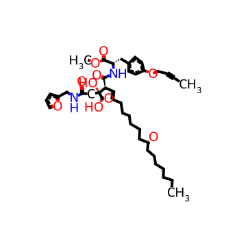 CC#CCOc1ccc(C[C@H](NC(=O)[C@@H](/C=C/CCCCCCC(=O)CCCCCCC)[C@@](O)(CC(=O)NCc2ccco2)C(=O)O)C(=O)OC)cc1